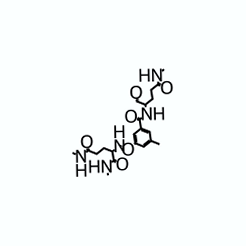 CNC(=O)CCC(C=O)NC(=O)c1cc(C)cc(ONC(CCC(=O)NC)C(=O)NC)c1